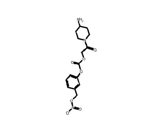 NC1CCN(C(=O)COC(=O)Oc2cccc(CO[N+](=O)[O-])c2)CC1